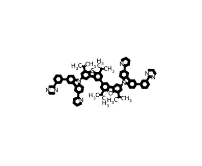 CC(C)c1cc(-c2cc(C(C)C)c3sc4c(C(C)C)cc(-n5c6ccc(-c7cccc(-c8cnccn8)c7)cc6c6cc(-c7ccccn7)ccc65)cc4c3c2)cc2c1oc1c(C(C)C)cc(-n3c4ccc(-c5cccc(-c6ncccn6)c5)cc4c4cc(-c5ccccn5)ccc43)cc12